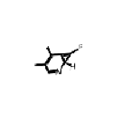 CC1=C(C)C2=C(F)[C@@H]2N=C1